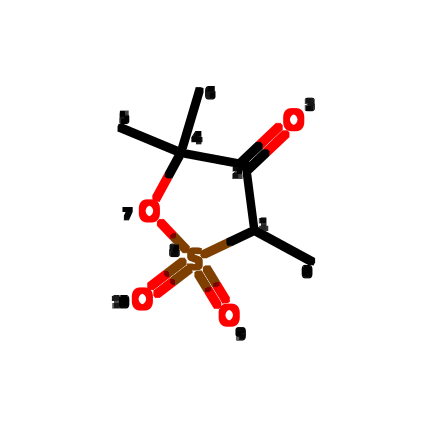 CC1C(=O)C(C)(C)OS1(=O)=O